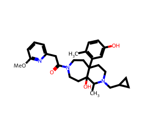 COc1cccc(CC(=O)N2CCC3(c4cc(O)ccc4C)CCN(CC4CC4)C(C)C3(O)CC2)n1